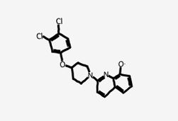 [O]c1cccc2ccc(N3CCC(Oc4ccc(Cl)c(Cl)c4)CC3)nc12